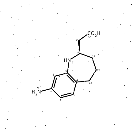 Nc1ccc2c(c1)N[C@@H](CC(=O)O)CCC2